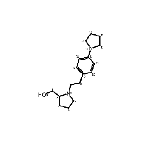 OCC1CCCN1CCc1ccc(N2CCCC2)cc1